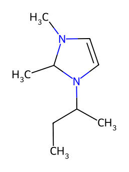 CCC(C)N1C=CN(C)C1C